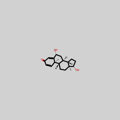 C[C@]12CC[C@H]3[C@@H](C[C@@H](O)C4=CC(=O)C=C[C@@]43C)[C@@H]1CC[C@@H]2O